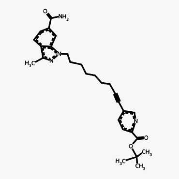 Cc1nn(CCCCCCCC#Cc2ccc(C(=O)OC(C)(C)C)nc2)c2cc(C(N)=O)ccc12